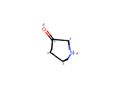 O=C1CC[N]C1